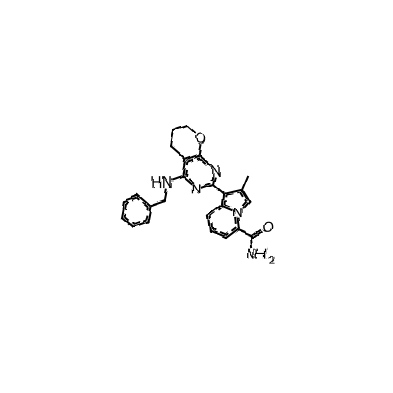 Cc1cn2c(C(N)=O)cccc2c1-c1nc(NCc2ccccc2)c2c(n1)OCCC2